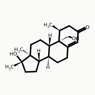 C[C@H]1CC(=O)C=C2CC[C@@H]3[C@H](CC[C@@]4(C)[C@H]3CC[C@]4(C)O)[C@]21CO